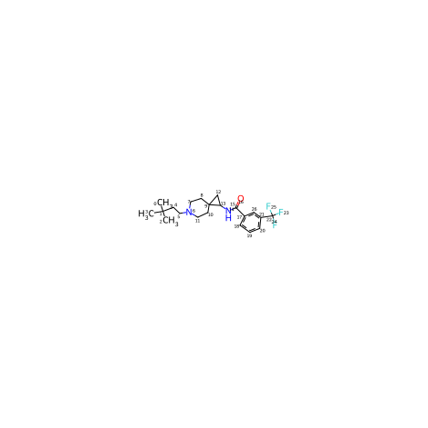 CC(C)(C)CCN1CCC2(CC1)CC2NC(=O)c1cccc(C(F)(F)F)c1